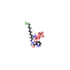 CN(C)C(=O)Oc1cccnc1C(=O)[N+](C)(C)CCCCCCCCCCBr.O=S(=O)([O-])O